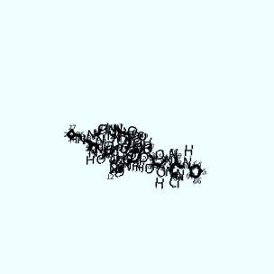 COCC(CC(=O)NS(=O)(=O)N(C)CO[C@H]1[C@@H](O)[C@H](n2ncc3c(NCC4CCC4)nc(Cl)nc32)O[C@@H]1COC(CO)(Cc1nn[nH]n1)P(=O)(O)O)(OC[C@H]1O[C@@H](n2ncc3c(NC4CCCC4)nc(Cl)nc32)[C@H](O)[C@@H]1O)P(=O)(O)O